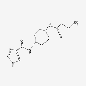 NCCC(=O)NC1CCC(NC(=O)c2c[nH]cn2)CC1